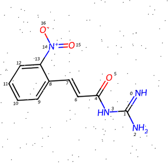 N=C(N)NC(=O)C=Cc1ccccc1[N+](=O)[O-]